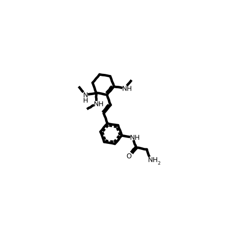 CNC1=C(/C=C/c2cccc(NC(=O)CN)c2)C(NC)(NC)CCC1